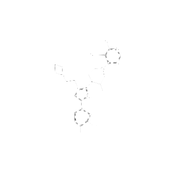 N#Cc1c(N)ncnc1N1CCC(c2nc(-c3ccc(F)c(C(F)(F)F)c3)cn2CCN2CCC2)C(F)C1